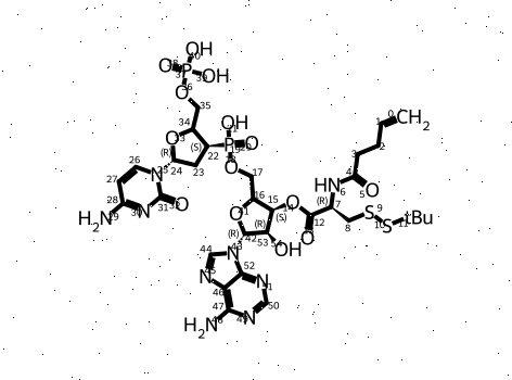 C=CCCC(=O)N[C@@H](CSSC(C)(C)C)C(=O)O[C@@H]1C(COP(=O)(O)[C@H]2C[C@H](n3ccc(N)nc3=O)OC2COP(=O)(O)O)O[C@@H](n2cnc3c(N)ncnc32)[C@@H]1O